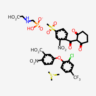 CS(=O)(=O)c1ccc(C(=O)C2C(=O)CCCC2=O)c([N+](=O)[O-])c1.C[S+](C)C.O=C(O)CNCP(=O)([O-])O.O=C(O)c1cc(Oc2ccc(C(F)(F)F)cc2Cl)ccc1[N+](=O)[O-]